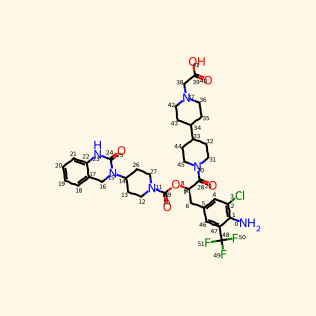 Nc1c(Cl)cc(C[C@@H](OC(=O)N2CCC(N3Cc4ccccc4NC3=O)CC2)C(=O)N2CCC(C3CCN(CC(=O)O)CC3)CC2)cc1C(F)(F)F